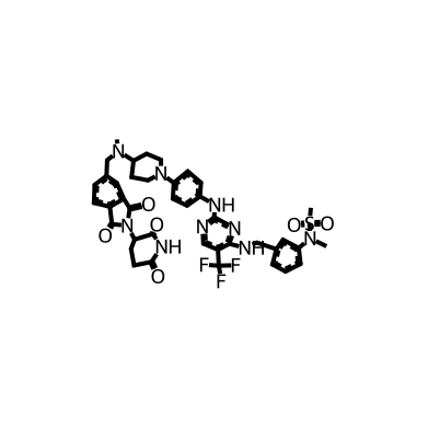 CN(Cc1ccc2c(c1)C(=O)N(C1CCC(=O)NC1=O)C2=O)C1CCN(c2ccc(Nc3ncc(C(F)(F)F)c(NCc4cccc(N(C)S(C)(=O)=O)c4)n3)cc2)CC1